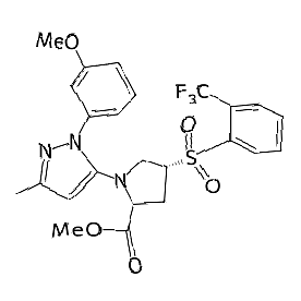 COC(=O)C1C[C@@H](S(=O)(=O)c2ccccc2C(F)(F)F)CN1c1cc(C)nn1-c1cccc(OC)c1